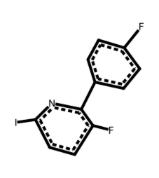 Fc1ccc(-c2nc(I)ccc2F)cc1